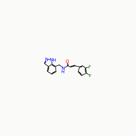 O=C(/C=C/c1ccc(F)c(F)c1)NCc1cccc2cn[nH]c12